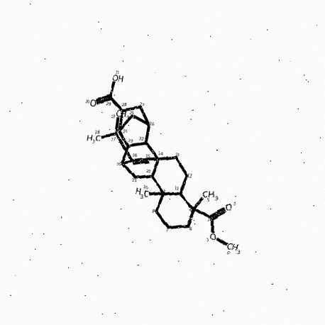 COC(=O)C1(C)CCCC2(C)C1CCC13C=C(C(C)C)C(CC21)C1C2CC(CC2C(=O)O)C13